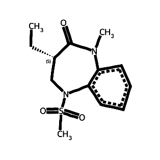 CC[C@H]1CN(S(C)(=O)=O)c2ccccc2N(C)C1=O